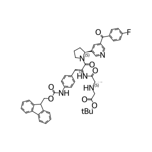 C[C@H](NCC(=O)OC(C)(C)C)C(=O)N[C@@H](Cc1ccc(NC(=O)OCC2c3ccccc3-c3ccccc32)cc1)C(=O)N1CCC[C@H]1c1cncc(C(=O)c2ccc(F)cc2)c1